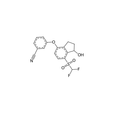 N#Cc1cccc(Oc2ccc(S(=O)(=O)C(F)F)c3c2CCC3O)c1